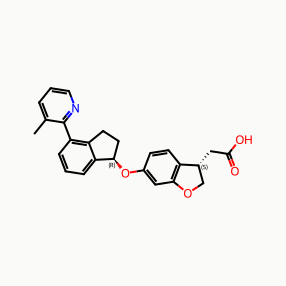 Cc1cccnc1-c1cccc2c1CC[C@H]2Oc1ccc2c(c1)OC[C@H]2CC(=O)O